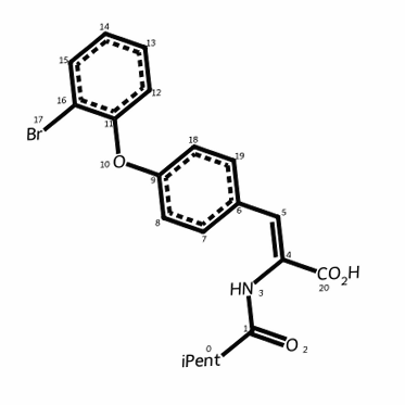 CCCC(C)C(=O)NC(=Cc1ccc(Oc2ccccc2Br)cc1)C(=O)O